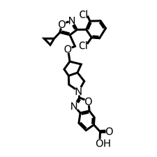 O=C(O)c1ccc2nc(N3CC4CC(OCc5c(-c6c(Cl)cccc6Cl)noc5C5CC5)CC4C3)oc2c1